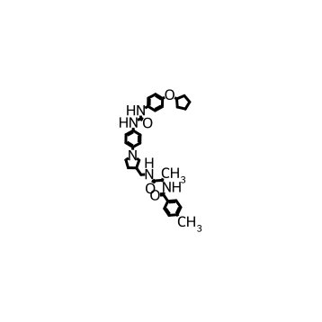 Cc1ccc(C(=O)NC(C)C(=O)NCC2CCN(c3ccc(NC(=O)Nc4ccc(OC5CCCC5)cc4)cc3)C2)cc1